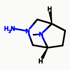 CN1[C@@H]2CC[C@H]1CN(N)C2